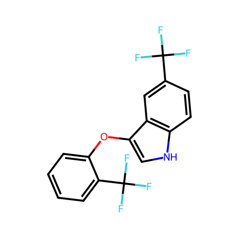 FC(F)(F)c1ccc2[nH]cc(Oc3ccccc3C(F)(F)F)c2c1